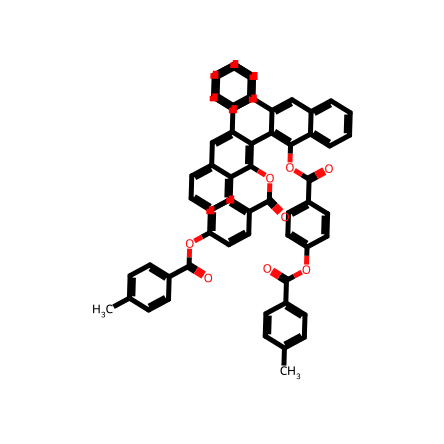 Cc1ccc(C(=O)Oc2ccc(C(=O)Oc3c(-c4c(-c5ccccc5)cc5ccccc5c4OC(=O)c4ccc(OC(=O)c5ccc(C)cc5)cc4)c(-c4ccccc4)cc4ccccc34)cc2)cc1